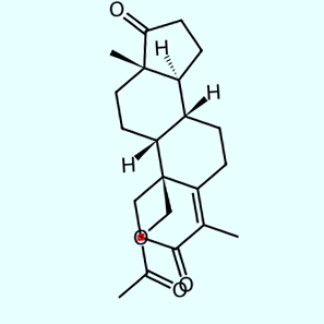 CC(=O)OC[C@]12CCC(=O)C(C)=C1CC[C@@H]1[C@H]2CC[C@]2(C)C(=O)CC[C@@H]12